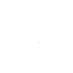 CN(C)C1CCN(c2cc3c(cc2Cl)C(=O)c2c([nH]c4cc(C#C[Si](C)(C)C)ccc24)C3(C)C)CC1